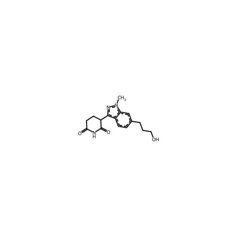 Cn1nc(C2CCC(=O)NC2=O)c2ccc(CCCO)cc21